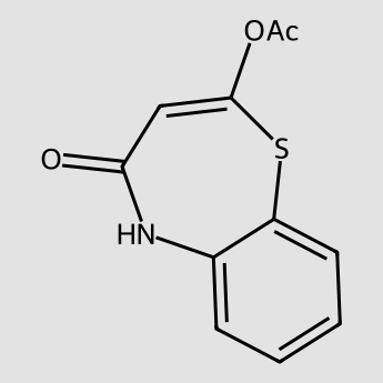 CC(=O)OC1=CC(=O)Nc2ccccc2S1